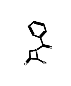 CCC1C(=O)CN1C(=O)c1ccccc1